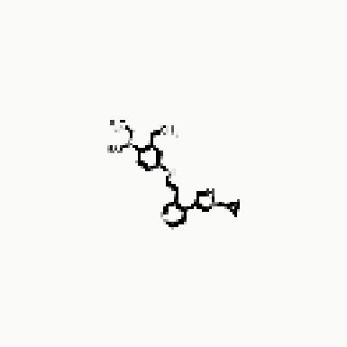 C=Cc1cc(N/C=C/c2cnccc2-c2cnn(C3CC3)c2)ccc1N(CC(F)(F)F)C(C)CC